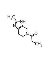 CCC(=O)N1CCc2nc(C)[nH]c2C1